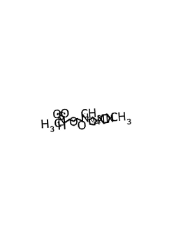 CN1CCN([C@H]2CC[C@@H](N(C)C(=O)COCCN(C)[SH](=O)=O)C2)CC1